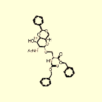 CC(=O)N[C@H]1[C@@H](OC[C@H](NC(=O)OCc2ccccc2)C(=O)OCc2ccccc2)O[C@@H]2COC(c3ccccc3)O[C@@H]2[C@@H]1O